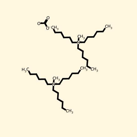 CCCCCC[N+](C)(CCCCCC)CCCCCC.CCCCCC[N+](C)(CCCCCC)CCCCCC.O=C([O-])[O-]